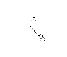 O=C(O)C(CCCCCCCc1ccc2c(n1)NCCC2)NCc1cc[nH]n1